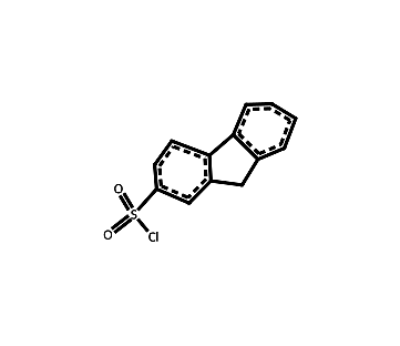 O=S(=O)(Cl)c1ccc2c(c1)Cc1ccccc1-2